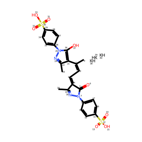 CC(=CC=C1C(=O)N(c2ccc(S(=O)(=O)O)cc2)N=C1C)c1c(C)nn(-c2ccc(S(=O)(=O)O)cc2)c1O.[KH].[KH].[KH]